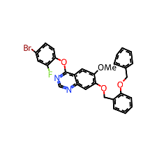 COc1cc2c(Oc3ccc(Br)cc3F)ncnc2cc1OCc1ccccc1OCc1ccccc1